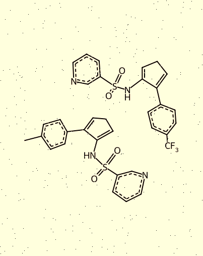 Cc1ccc(C2=CCC=C2NS(=O)(=O)c2cccnc2)cc1.O=S(=O)(NC1=CCC=C1c1ccc(C(F)(F)F)cc1)c1cccnc1